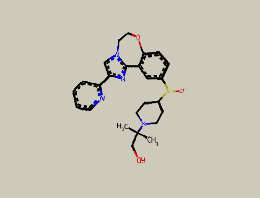 CC(C)(CO)N1CCC([S+]([O-])c2ccc3c(c2)-c2nc(-c4ccccn4)cn2CCO3)CC1